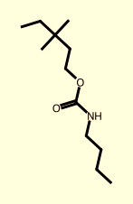 CCCCNC(=O)OCCC(C)(C)CC